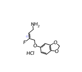 Cl.NC/C=C(/F)COc1ccc2c(c1)OCO2